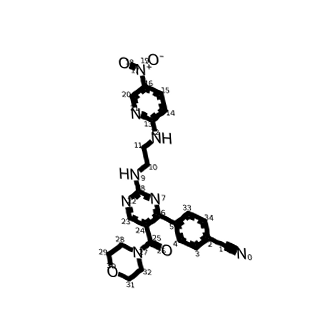 N#Cc1ccc(-c2nc(NCCNc3ccc([N+](=O)[O-])cn3)ncc2C(=O)N2CCOCC2)cc1